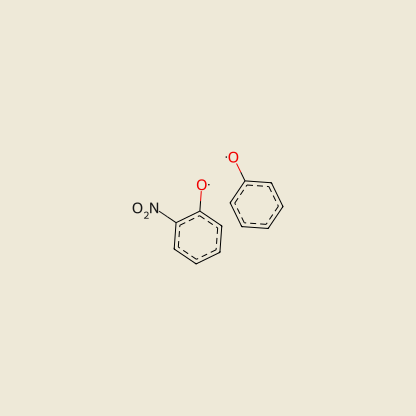 [O]c1ccccc1.[O]c1ccccc1[N+](=O)[O-]